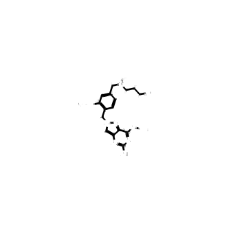 CCCCNc1nc(N)nc2cn(Cc3ccc(CN(C)CCCO)cc3OC)nc12